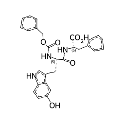 O=C(N[C@@H](Cc1c[nH]c2ccc(O)cc12)C(=O)N[C@@H](Cc1ccccc1)C(=O)O)OCc1ccccc1